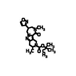 CC1Cc2nn3c(c2CN1C(=O)OC(C)(C)C)C(=O)N(C)CC(c1ccon1)C3